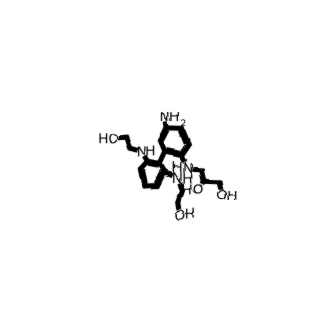 Nc1ccc(NCC(O)CO)c(-c2c(NCCO)cccc2NCCO)c1